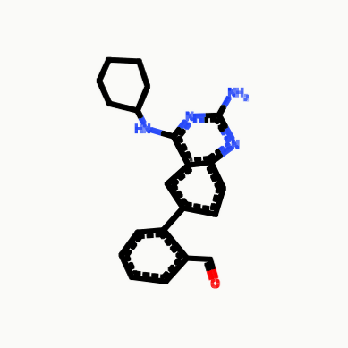 Nc1nc(NC2CCCCC2)c2cc(-c3ccccc3C=O)ccc2n1